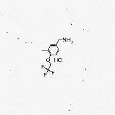 Cc1cc(CN)ccc1OCC(F)(F)F.Cl